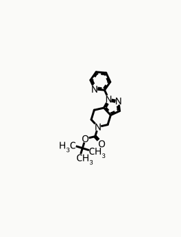 CC(C)(C)OC(=O)N1CCc2c(cnn2-c2ccccn2)C1